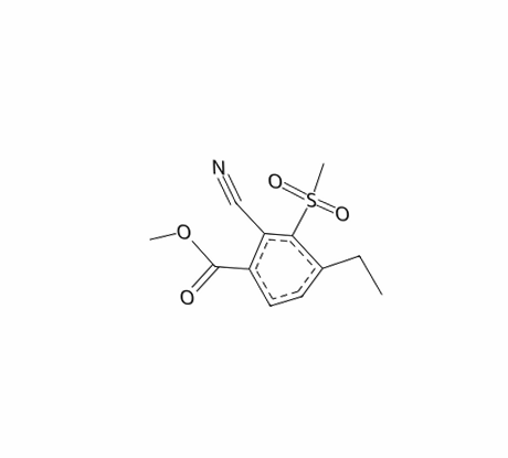 CCc1ccc(C(=O)OC)c(C#N)c1S(C)(=O)=O